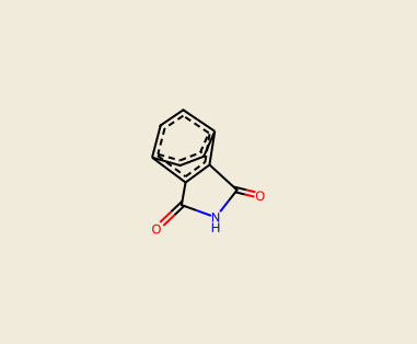 O=C1NC(=O)c2c1c1ccc2cc1